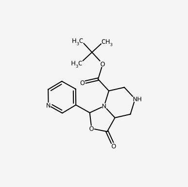 CC(C)(C)OC(=O)C1CNCC2C(=O)OC(c3cccnc3)N21